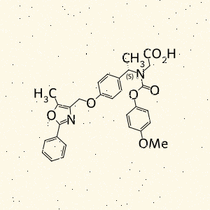 COc1ccc(OC(=O)N(CC(=O)O)[C@@H](C)c2ccc(OCc3nc(-c4ccccc4)oc3C)cc2)cc1